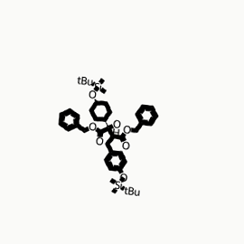 CC(C)(C)[Si](C)(C)Oc1ccc(CC(C(=O)OCc2ccccc2)C(O)(C(=O)OCc2ccccc2)[C@H]2CC[C@@H](O[Si](C)(C)C(C)(C)C)CC2)cc1